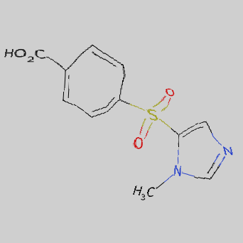 Cn1cncc1S(=O)(=O)c1ccc(C(=O)O)cc1